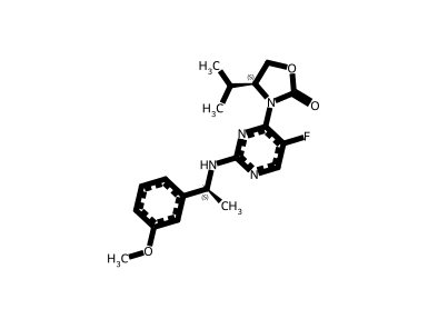 COc1cccc([C@H](C)Nc2ncc(F)c(N3C(=O)OC[C@@H]3C(C)C)n2)c1